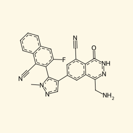 Cn1ncc(-c2cc(C#N)c3c(=O)[nH]nc(CN)c3c2)c1-c1c(F)cc2ccccc2c1C#N